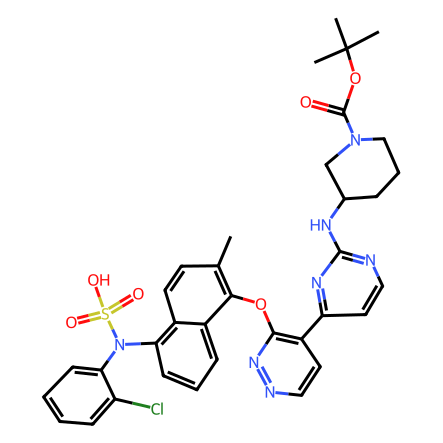 Cc1ccc2c(N(c3ccccc3Cl)S(=O)(=O)O)cccc2c1Oc1nnccc1-c1ccnc(NC2CCCN(C(=O)OC(C)(C)C)C2)n1